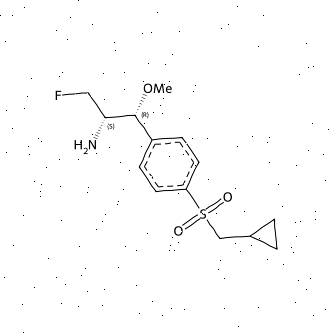 CO[C@H](c1ccc(S(=O)(=O)CC2CC2)cc1)[C@H](N)CF